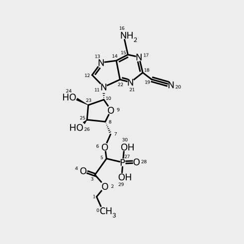 CCOC(=O)C(OC[C@H]1O[C@@H](n2cnc3c(N)nc(C#N)nc32)[C@H](O)[C@@H]1O)P(=O)(O)O